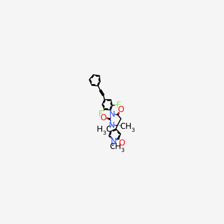 CN1C(=O)N(c2c(F)cc(C#Cc3ccccc3)cc2F)C(=O)C[C@@]1(C)c1ccn(C)c(=O)c1